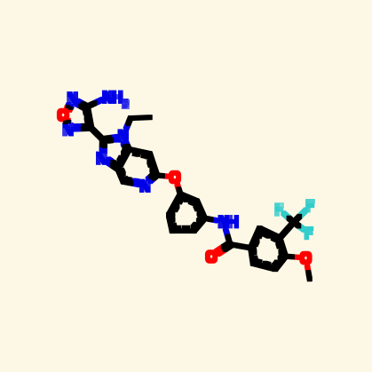 CCn1c(-c2nonc2N)nc2cnc(Oc3cccc(NC(=O)c4ccc(OC)c(C(F)(F)F)c4)c3)cc21